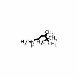 C=C(CCCNC)C(C)(C)C